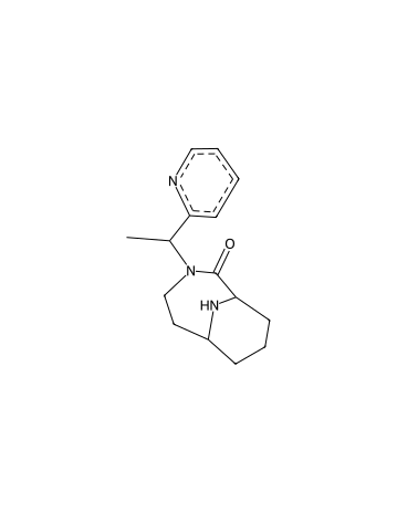 CC(c1ccccn1)N1CCC2CCCC(N2)C1=O